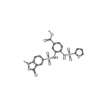 COC(=O)c1ccc(NS(=O)(=O)c2cccs2)c(NS(=O)(=O)c2ccc3c(c2)c(=O)sn3C)c1